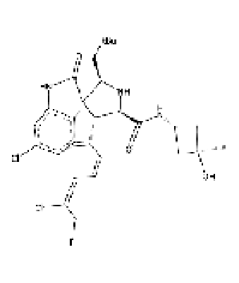 C=C(/C=C\C=C(\Cl)CF)[C@H]1[C@H](C(=O)N[C@H]2C[C@](C)(O)C2)N[C@H](CC(C)(C)C)[C@]12C(=O)Nc1cc(Cl)ccc12